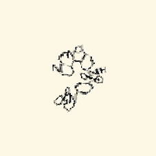 O=S(=O)(Nc1ccc(Cl)c(-c2nccc3ncccc23)c1)c1ccc(N2CCCS2(=O)=O)cc1